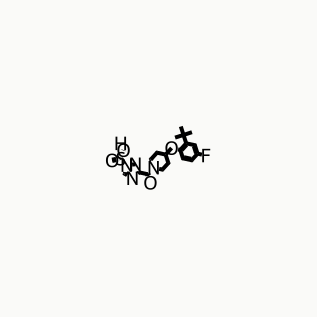 CC(C)(C)c1cc(F)ccc1OC1CCN(C(=O)c2ncn([SH](=O)=O)n2)CC1